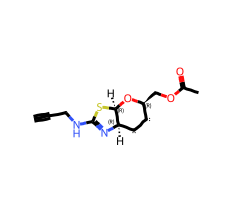 C#CCNC1=N[C@@H]2[C][C][C@H](COC(C)=O)O[C@@H]2S1